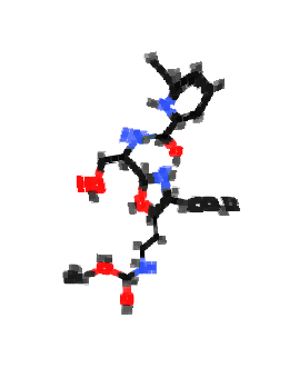 CCOC(=O)c1nc(C(CO)NC(=O)c2cccc(C)n2)oc1CCNC(=O)OC(C)(C)C